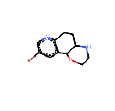 Brc1cnc2c(c1)C1OCCNC1CC2